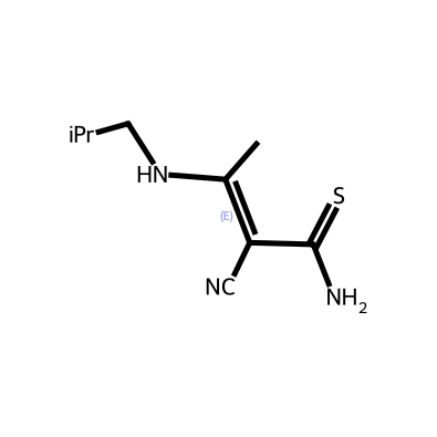 C/C(NCC(C)C)=C(/C#N)C(N)=S